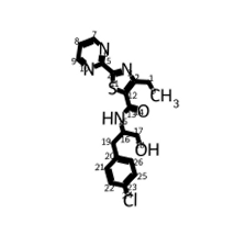 CCc1nc(-c2ncccn2)sc1C(=O)NC(CO)Cc1ccc(Cl)cc1